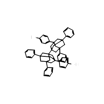 Oc1ccc(C23CC4(c5ccccc5)CC(c5ccccc5)(C2)CC(C25CC6(c7ccccc7)CC(c7ccccc7)(CC(c7ccc(O)cc7)(C6)C2)C5)(C4)C3)cc1